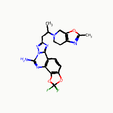 Cc1nc2c(o1)CN(C(C)Cc1nc3c4ccc5c(c4nc(N)n3n1)OC(F)(F)O5)CC2